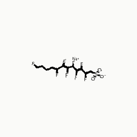 O=S(=O)([O-])CC(F)C(F)C(F)C(F)C(F)C(F)C(F)CCCCF.[Na+]